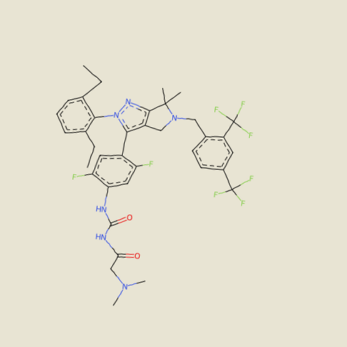 CCc1cccc(CC)c1-n1nc2c(c1-c1cc(F)c(NC(=O)NC(=O)CN(C)C)cc1F)CN(Cc1ccc(C(F)(F)F)cc1C(F)(F)F)C2(C)C